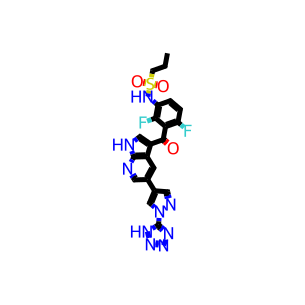 CCCS(=O)(=O)Nc1ccc(F)c(C(=O)c2c[nH]c3ncc(-c4cnn(-c5nnn[nH]5)c4)cc23)c1F